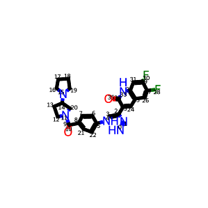 N=N/C(=C\Nc1ccc(C(=O)N2CCC(N3CCCC3)C2)cc1)c1cc2cc(F)c(F)cc2[nH]c1=O